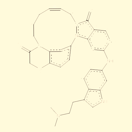 CN(C)CCc1c[nH]c2cc(Nc3ncc4c(=O)n5n(c4n3)-c3ccc4c(c3)N(CCC/C=C\C5)C(=O)CO4)ccc12